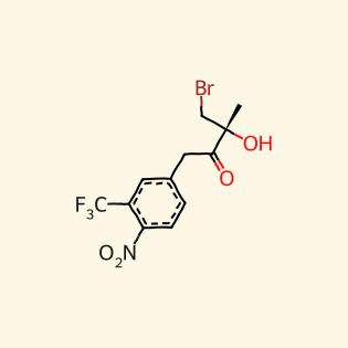 C[C@](O)(CBr)C(=O)Cc1ccc([N+](=O)[O-])c(C(F)(F)F)c1